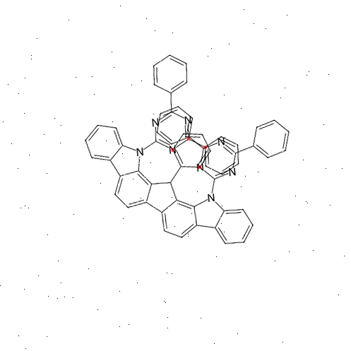 c1ccc(-c2nc(-c3ccccc3)nc(-n3c4ccccc4c4ccc5c(c43)C(c3ccccc3)c3c-5ccc4c5ccccc5n(-c5nc(-c6ccccc6)nc(-c6ccccc6)n5)c34)n2)cc1